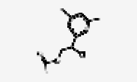 CC(=O)OCC(Cl)c1cc(C)cc(C)c1